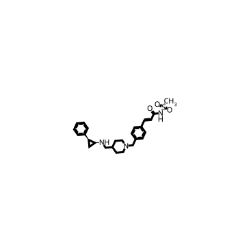 CS(=O)(=O)NC(=O)C=Cc1ccc(CN2CCC(CN[C@@H]3C[C@H]3c3ccccc3)CC2)cc1